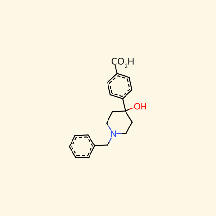 O=C(O)c1ccc(C2(O)CCN(Cc3ccccc3)CC2)cc1